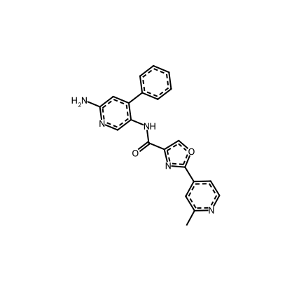 Cc1cc(-c2nc(C(=O)Nc3cnc(N)cc3-c3ccccc3)co2)ccn1